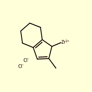 CC1=CC2=C(CCCC2)[CH]1[Zr+2].[Cl-].[Cl-]